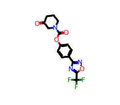 O=C1CCCN(C(=O)Oc2ccc(-c3noc(C(F)(F)F)n3)cc2)C1